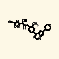 Cc1cc(-c2ncnn3cc(C4=CCOCC4)cc23)ccc1CNC(O)c1noc(C(C)(C)C)n1